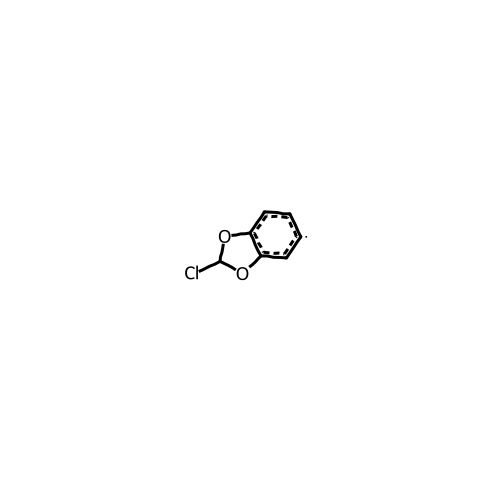 ClC1Oc2c[c]ccc2O1